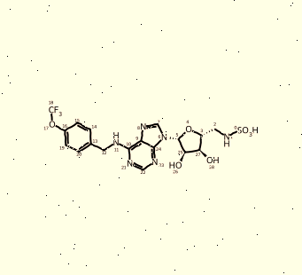 O=S(=O)(O)NC[C@H]1O[C@@H](n2cnc3c(NCc4ccc(OC(F)(F)F)cc4)ncnc32)[C@H](O)[C@@H]1O